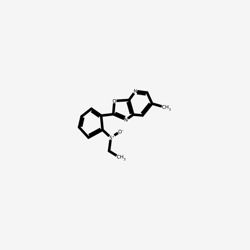 CC[S+]([O-])c1ccccc1-c1nc2cc(C)cnc2o1